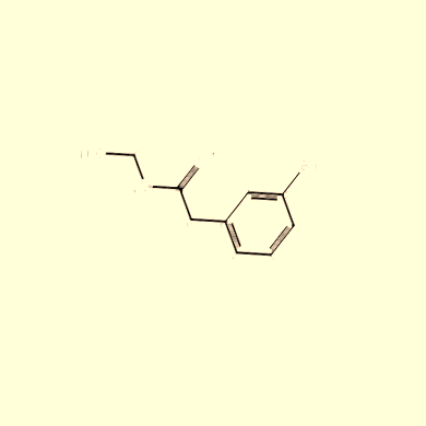 Bc1cccc(CC(=O)OCC)c1